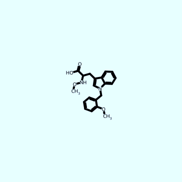 CONC(Cc1cn(Cc2ccccc2OC)c2ccccc12)C(=O)O